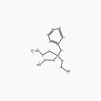 OCC[N+](CCO)(CCO)Cc1ccccc1.[Cl-]